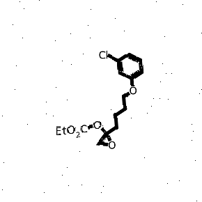 CCOC(=O)OC1(CCCCOc2cccc(Cl)c2)CO1